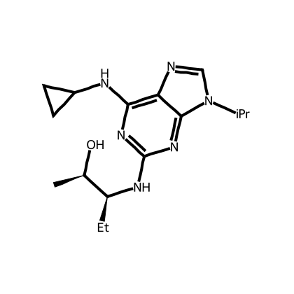 CC[C@H](Nc1nc(NC2CC2)c2ncn(C(C)C)c2n1)[C@@H](C)O